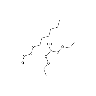 CCCCCCSSSS.CCOOP(O)OOCC